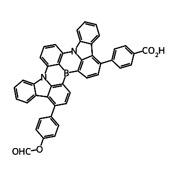 O=COc1ccc(-c2ccc3c4c2c2ccccc2n4-c2cccc4c2B3c2ccc(-c3ccc(C(=O)O)cc3)c3c5ccccc5n-4c23)cc1